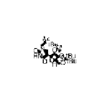 CC(=O)CCn1cc([C@@H]2O[C@@H]3CO[Si](C(C)(C)C)(C(C)(C)C)OC3[C@@H]2O[Si](C)(C)C(C)(C)C)c(=O)[nH]c1=O